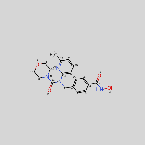 O=C(NO)c1ccc(CN(C(=O)N2CCOCC2)c2cccc(C(F)(F)F)n2)cc1